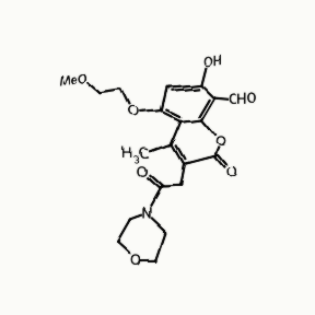 COCCOc1cc(O)c(C=O)c2oc(=O)c(CC(=O)N3CCOCC3)c(C)c12